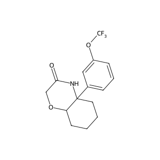 O=C1COC2CCCCC2(c2cccc(OC(F)(F)F)c2)N1